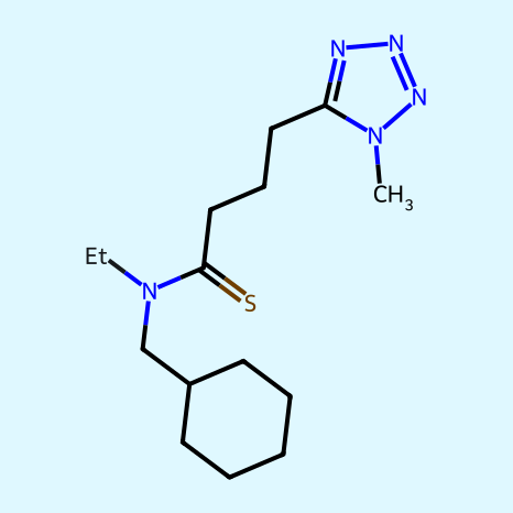 CCN(CC1CCCCC1)C(=S)CCCc1nnnn1C